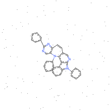 C1=Cc2nc(-c3ccccc3)ncc2N(c2ccccc2)c2c1cnc1c2c2ccccc2n1-c1ccccc1